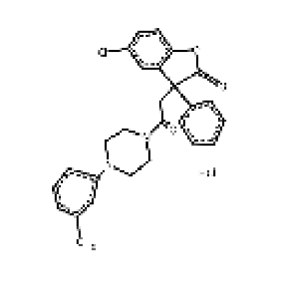 Cc1cccc(N2CCN(C(=O)CC3(c4ccccc4)C(=O)Oc4ccc(Cl)cc43)CC2)c1.Cl